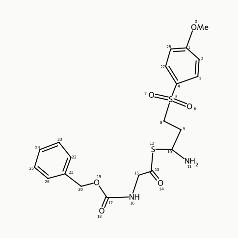 COc1ccc(S(=O)(=O)CCC(N)SC(=O)CNC(=O)OCc2ccccc2)cc1